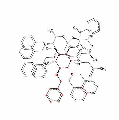 C=CC[C@@]1(O[C@@]2(C(=O)c3ccccc3)[C@H](O)O[C@@H](C)[C@H](O[C@H]3O[C@H](COCc4ccccc4)[C@@H](OCc4ccccc4)[C@H](OCc4ccccc4)[C@H]3OCc3ccccc3)[C@H]2O[C@@H]2O[C@@H](C)[C@H](OCc3ccccc3)[C@@H](OCc3ccccc3)[C@H]2O)O[C@@H](C)[C@H](OCc2ccccc2)[C@@H](OCc2ccccc2)[C@H]1OC(=O)CCC(C)=O